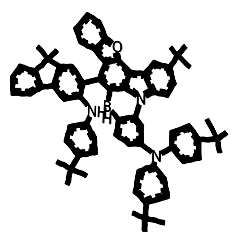 CC(C)(C)c1ccc(Nc2cc3c(cc2-c2c4c5c(c6cc(C(C)(C)C)ccc6n5-c5cc(N(c6ccc(C(C)(C)C)cc6)c6ccc(C(C)(C)C)cc6)ccc5B4)c4oc5ccccc5c24)C(C)(C)c2ccccc2-3)cc1